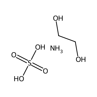 N.O=S(=O)(O)O.OCCO